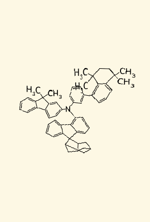 CC1(C)CCC(C)(C)c2c(-c3cccc(N(c4ccc5c(c4)C(C)(C)c4ccccc4-5)c4cccc5c4-c4ccccc4C54C5CC6CC(C5)C4C6)c3)cccc21